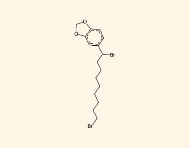 BrCCCCCCCCC(Br)c1ccc2c(c1)OCO2